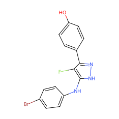 Oc1ccc(-c2n[nH]c(Nc3ccc(Br)cc3)c2F)cc1